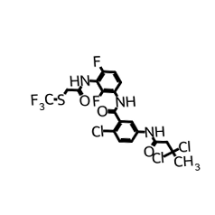 CC(Cl)(Cl)CC(=O)Nc1ccc(Cl)c(C(=O)Nc2ccc(F)c(NC(=O)CSC(F)(F)F)c2F)c1